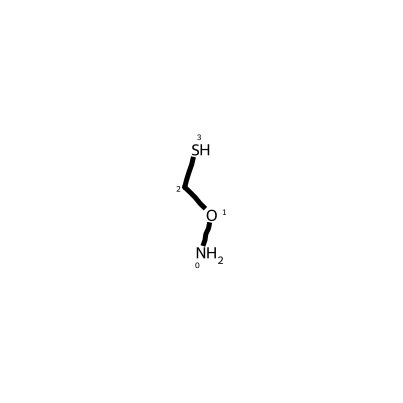 NOCS